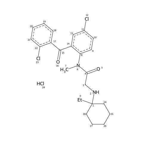 CCC1(NCC(=O)N(C)c2ccc(Cl)cc2C(=O)c2ccccc2Cl)CCCCC1.Cl